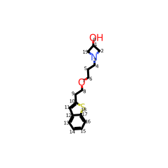 OC1CN(CCCOCCc2cc3ccccc3s2)C1